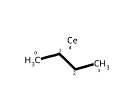 CCCC.[Ce]